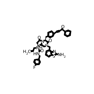 C=CCN(C(=O)NCc1ccc(F)cc1)N1CC(=O)N2[C@@H](Cc3ccc(C#CC(=O)c4ccccc4)cc3)C(=O)N(Cc3cccc4sc(N)nc34)C[C@@H]21